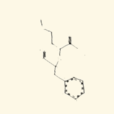 CSCC[C@H](NC(C=O)Cc1ccccc1)C(=O)O